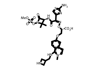 COS(=O)(=O)ON1C(=O)[C@@H](NC(=O)/C(=N\O[C@@H](COc2ccc3c(NCC4CNC4)[n+](C)ccc3c2)C(=O)O)c2csc(N)n2)C1(C)C